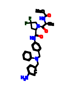 COC(=O)N[C@H](C(=O)N1CC(F)(F)CC1C(=O)Nc1ccc(CN(Cc2ccc(N)cc2)c2ccccc2)cc1)C(C)(C)C